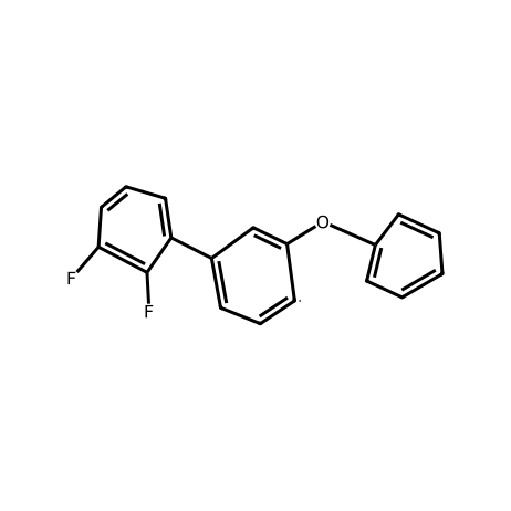 Fc1cccc(-c2cc[c]c(Oc3ccccc3)c2)c1F